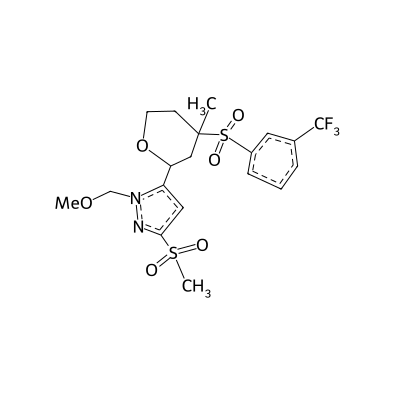 COCn1nc(S(C)(=O)=O)cc1C1CC(C)(S(=O)(=O)c2cccc(C(F)(F)F)c2)CCO1